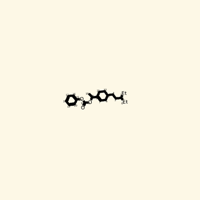 CCC(CC)CCC1CC=C(C(C)OC(=O)Oc2ccccc2)CC1